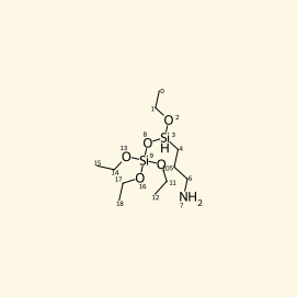 CCO[SiH](CCCN)O[Si](OCC)(OCC)OCC